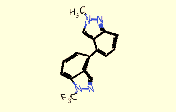 Cn1cc2c(-c3cccc4c3cnn4C(F)(F)F)cccc2n1